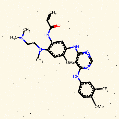 C=CC(=O)Nc1cc(Nc2cc(Nc3ccc(OC)c(C(F)(F)F)c3)ncn2)c(OC)cc1N(C)CCN(C)C